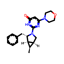 C[C@@H]1[C@@H]2CN(c3nc(N4CCOCC4)cc(=O)[nH]3)[C@@H](Cc3ccccc3)[C@H]12